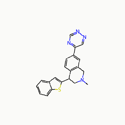 CN1Cc2cc(-c3cnncn3)ccc2C(c2cc3ccccc3s2)C1